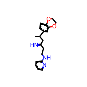 CC(CC(=N)CCNc1ccccn1)c1ccc2c(c1)OCCO2